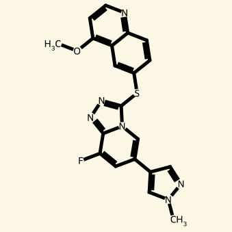 COc1ccnc2ccc(Sc3nnc4c(F)cc(-c5cnn(C)c5)cn34)cc12